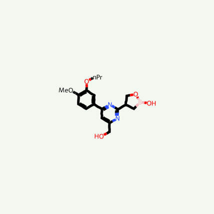 CCCOc1cc(-c2cc(CO)nc(C3COB(O)C3)n2)ccc1OC